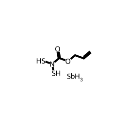 C=CCOC(=O)N(S)S.[SbH3]